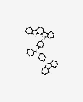 c1ccc(N(c2ccc(-n3c4ccccc4c4ccccc43)cc2)c2ccc(-n3c4ccccc4c4ccc5c6ccccc6sc5c43)cc2)cc1